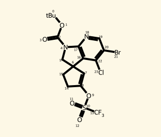 CC(C)(C)OC(=O)N1CC2(C=C(OS(=O)(=O)C(F)(F)F)CC2)c2c1ncc(Br)c2Cl